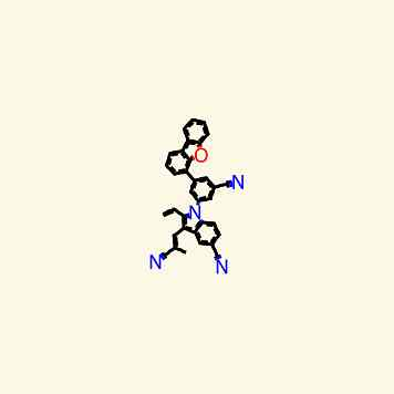 C=Cc1c(/C=C(\C)C#N)c2cc(C#N)ccc2n1-c1cc(C#N)cc(-c2cccc3c2oc2ccccc23)c1